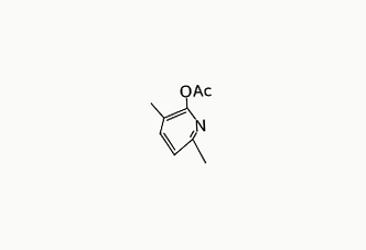 CC(=O)Oc1nc(C)ccc1C